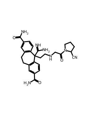 N#CC1CCCN1C(=O)CNCCC1(C(=N)N)c2ccc(C(N)=O)cc2CCc2cc(C(N)=O)ccc21